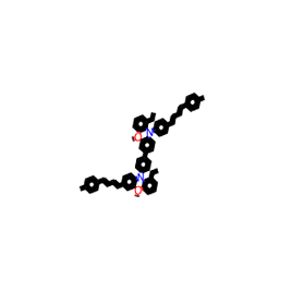 CCc1cccc(OC)c1N(c1ccc(/C=C/C=C/c2ccc(C)cc2)cc1)c1ccc(-c2ccc(N(c3ccc(/C=C/C=C/c4ccc(C)cc4)cc3)c3c(CC)cccc3OC)cc2)cc1